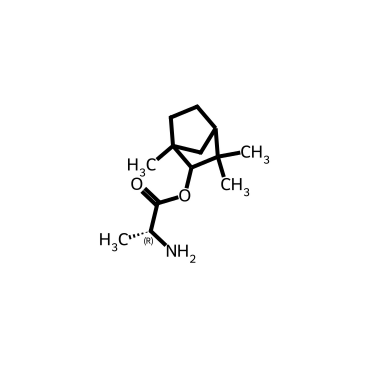 C[C@@H](N)C(=O)OC1C2(C)CCC(C2)C1(C)C